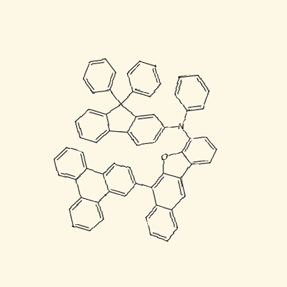 c1ccc(N(c2ccc3c(c2)C(c2ccccc2)(c2ccccc2)c2ccccc2-3)c2cccc3c2oc2c(-c4ccc5c6ccccc6c6ccccc6c5c4)c4ccccc4cc23)cc1